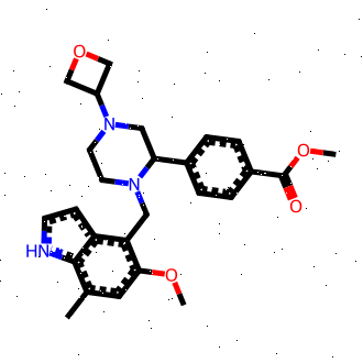 COC(=O)c1ccc(C2CN(C3COC3)CCN2Cc2c(OC)cc(C)c3[nH]ccc23)cc1